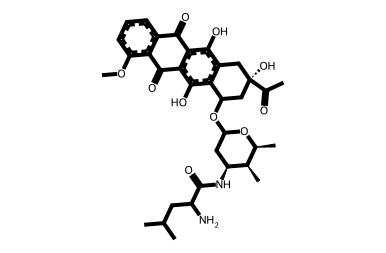 COc1cccc2c1C(=O)c1c(O)c3c(c(O)c1C2=O)C[C@@](O)(C(C)=O)CC3OC1C[C@H](NC(=O)C(N)CC(C)C)[C@H](C)[C@H](C)O1